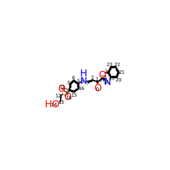 O=C(/C=C/Nc1ccc(S(=O)(=O)CCO)cc1)c1nc2ccccc2o1